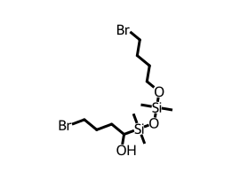 C[Si](C)(OCCCCBr)O[Si](C)(C)C(O)CCCBr